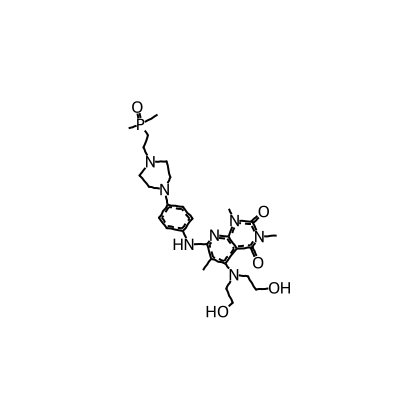 Cc1c(Nc2ccc(N3CCN(CCP(C)(C)=O)CC3)cc2)nc2c(c1N(CCO)CCO)c(=O)n(C)c(=O)n2C